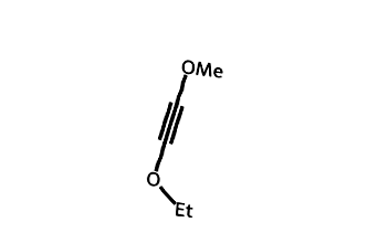 CCOC#COC